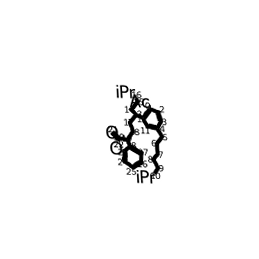 CC(=O)c1ccc(CCCCCC(C)C)cc1C(CCC(C)C)CCC1C(=O)Oc2ccccc21